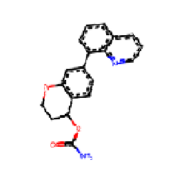 NC(=O)OC1CCOc2cc(-c3cccc4cccnc34)ccc21